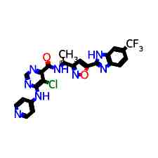 C[C@@H](NC(=O)c1ncnc(Nc2ccncc2)c1Cl)c1cc(-c2nc3ccc(C(F)(F)F)cc3[nH]2)on1